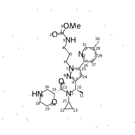 COC(=O)NCCCn1nc([C@@H](C)N(C(=O)[C@H]2CNCCO2)C2CC2)cc1-c1ccc(C)cn1